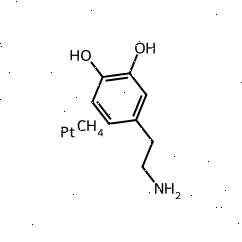 C.NCCc1ccc(O)c(O)c1.[Pt]